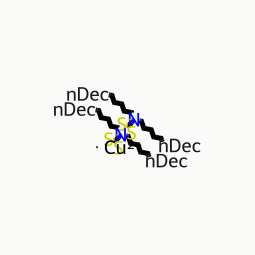 CCCCCCCCCCCCCCCN(CCCCCCCCCCCCCCC)C(=S)[S-].CCCCCCCCCCCCCCCN(CCCCCCCCCCCCCCC)C(=S)[S-].[Cu+2]